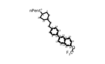 CCCCCC1CCC(CCc2ccc(-c3ccc4cc(OC(F)(F)F)ccc4c3)cc2)CC1